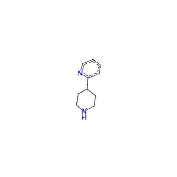 c1ccc([C]2CCNCC2)nc1